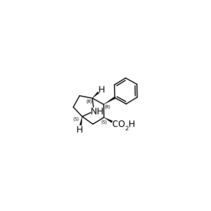 O=C(O)[C@H]1C[C@@H]2CC[C@@H](N2)[C@H]1c1ccccc1